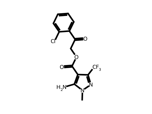 Cn1nc(C(F)(F)F)c(C(=O)OCC(=O)c2ccccc2Cl)c1N